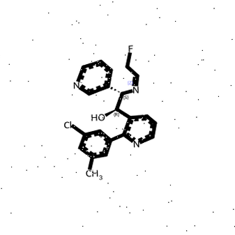 Cc1cc(Cl)cc(-c2ncccc2[C@@H](O)[C@@H](/N=C\CF)c2cccnc2)c1